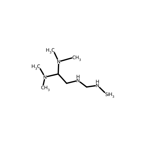 CN(C)C(CNCN[SiH3])N(C)C